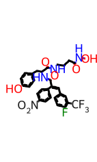 O=C(CCCNC(=O)C(Cc1ccc(O)cc1)NC(=O)C(=Cc1ccc(F)c(C(F)(F)F)c1)c1ccc([N+](=O)[O-])cc1)NO